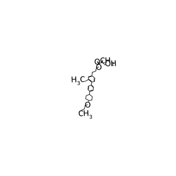 C=C(CO)C(=O)OCCCc1ccc(-c2ccc(C3CCC(OCCCC)CC3)cc2)c(CC)c1